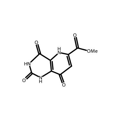 COC(=O)c1cc(=O)c2[nH]c(=O)[nH]c(=O)c2[nH]1